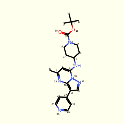 Cc1cc(NC2CCN(C(=O)OC(C)(C)C)CC2)n2ncc(-c3ccncc3)c2n1